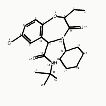 CCC1Oc2ccc(Cl)cc2C(C(=O)NC(C)(C)C)N(C2CCCCC2)C1=O